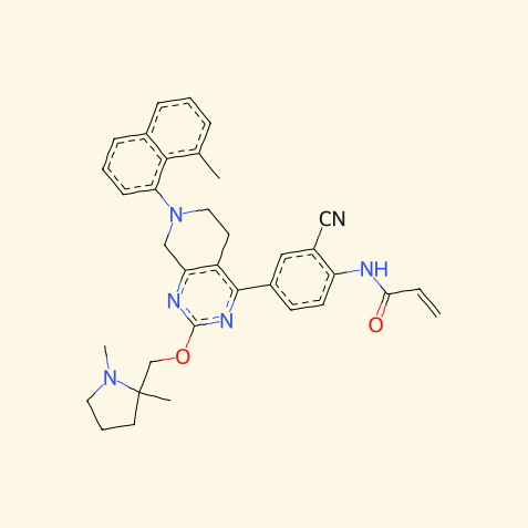 C=CC(=O)Nc1ccc(-c2nc(OCC3(C)CCCN3C)nc3c2CCN(c2cccc4cccc(C)c24)C3)cc1C#N